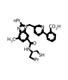 CCCc1nc2c(C)cc(C(=O)N[C@@H](CS)CC(C)C)cc2n1Cc1ccc(-c2ccccc2C(=O)O)nc1